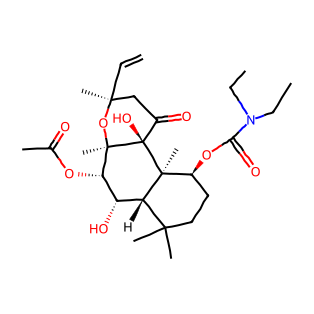 C=C[C@@]1(C)CC(=O)[C@]2(O)[C@@]3(C)[C@@H](OC(=O)N(CC)CC)CCC(C)(C)[C@@H]3[C@H](O)[C@H](OC(C)=O)[C@@]2(C)O1